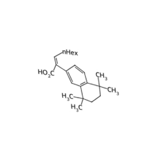 CCCCCC/C=C(/C(=O)O)c1ccc2c(c1)C(C)(C)CCC2(C)C